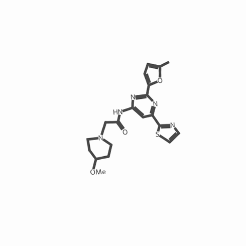 COC1CCN(CC(=O)Nc2cc(-c3nccs3)nc(-c3ccc(C)o3)n2)CC1